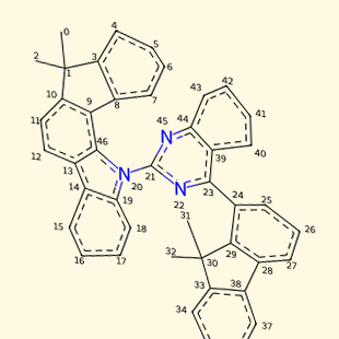 CC1(C)c2ccccc2-c2c1ccc1c3ccccc3n(-c3nc(-c4cccc5c4C(C)(C)c4ccccc4-5)c4ccccc4n3)c21